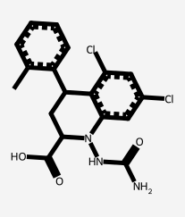 Cc1ccccc1C1CC(C(=O)O)N(NC(N)=O)c2cc(Cl)cc(Cl)c21